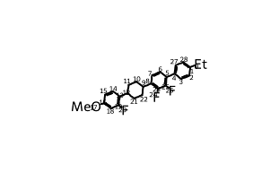 CCc1ccc(-c2ccc(C3CCC(c4ccc(OC)cc4F)CC3)c(F)c2F)cc1